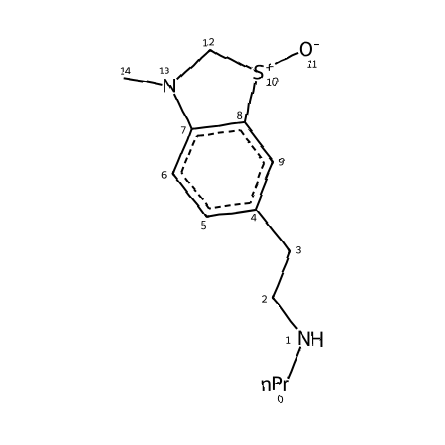 CCCNCCc1ccc2c(c1)[S+]([O-])CN2C